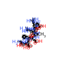 CC(C)C[C@H](NC(=O)[C@H](CCC(=O)O)NC(=O)[C@H](Cc1ccccc1)NC(=O)[C@H](CCC(=O)O)NC(=O)[C@H](CO)NC(=O)CN)C(=O)N[C@@H](CCCNC(=N)N)C(=O)N[C@@H](CCCNC(=N)N)C(=O)N1CCC[C@H]1C(=O)O